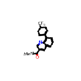 CNC(=O)c1cnc2c(C3=CCC(C(F)(F)F)CC3)cccc2c1